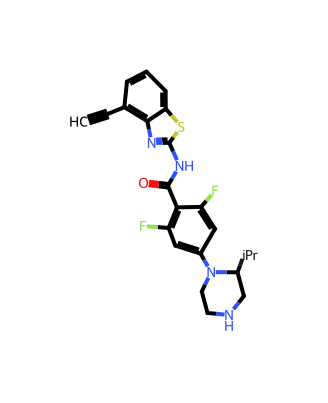 C#Cc1cccc2sc(NC(=O)c3c(F)cc(N4CCNCC4C(C)C)cc3F)nc12